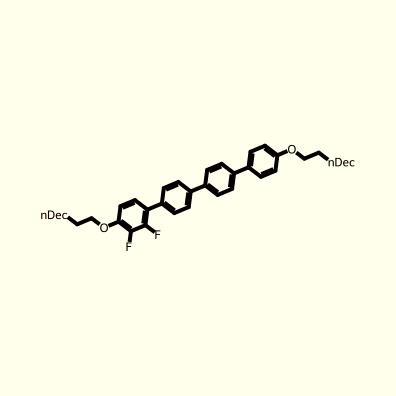 CCCCCCCCCCCCOc1ccc(-c2ccc(-c3ccc(-c4ccc(OCCCCCCCCCCCC)c(F)c4F)cc3)cc2)cc1